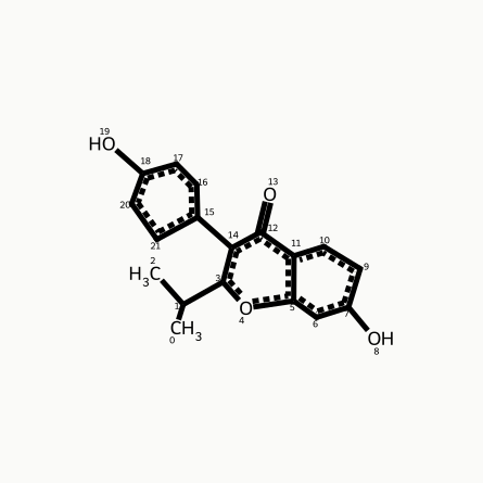 CC(C)c1oc2cc(O)ccc2c(=O)c1-c1ccc(O)cc1